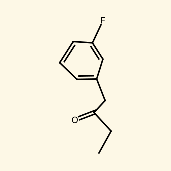 CCC(=O)Cc1cccc(F)c1